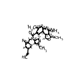 C#Cc1cnc(CN(C(=O)c2cc3c4c(c(N)nc3cc2C)C(C)OC4)c2cnn(C)c2)c(F)c1